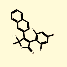 CC1(O)OC(=O)C(c2c(F)cc(F)cc2F)=C1c1ccc2ccccc2c1